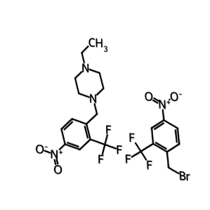 CCN1CCN(Cc2ccc([N+](=O)[O-])cc2C(F)(F)F)CC1.O=[N+]([O-])c1ccc(CBr)c(C(F)(F)F)c1